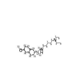 CCN(CC)CCCCCNCC(C)c1ccc2cc(OC)ccc2c1